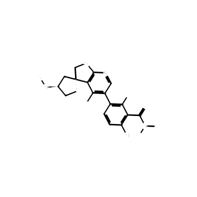 CN(C)C(=O)c1c(N)ccc(-c2cnc3c(c2Cl)[C@]2(CC[C@@H](NN)C2)CN3)c1F